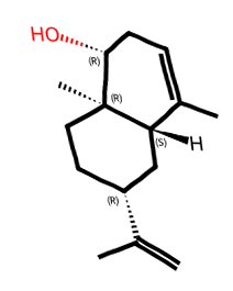 C=C(C)[C@@H]1CC[C@@]2(C)[C@H](O)CC=C(C)[C@@H]2C1